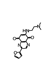 CN(C)CCNC1=CC(=O)c2nc(-c3ccco3)cnc2C1=O